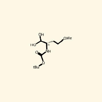 COCC[C@H](NC(=O)OC(C)(C)C)C(O)O